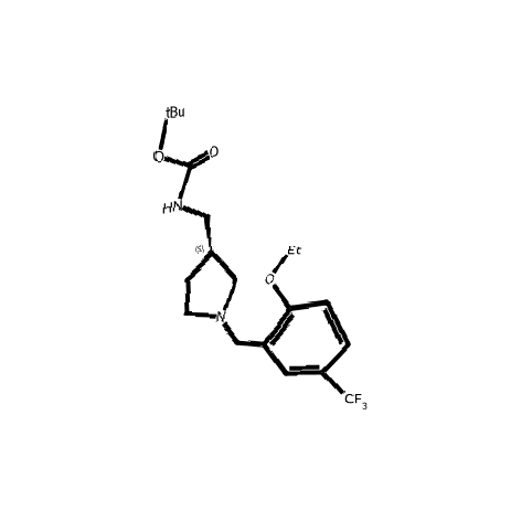 CCOc1ccc(C(F)(F)F)cc1CN1CC[C@@H](CNC(=O)OC(C)(C)C)C1